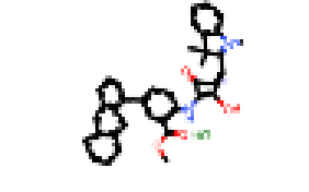 COC(=O)c1cc(-c2cccc3cc4ccccc4cc23)ccc1NC1=C(O)/C(=C/C2=[N+](C)c3ccccc3C2(C)C)C1=O.Cl